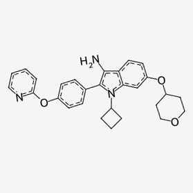 Nc1c(-c2ccc(Oc3ccccn3)cc2)n(C2CCC2)c2cc(OC3CCOCC3)ccc12